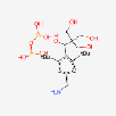 CC(C)(C)c1cc(CN)cc(C(C)(C)C)c1C(O)C(CO)(CO)CO.OP(O)OP(O)O